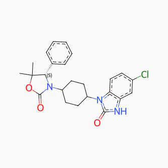 CC1(C)OC(=O)N(C2CCC(n3c(=O)[nH]c4cc(Cl)ccc43)CC2)[C@H]1c1ccccc1